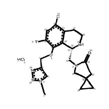 Cl.Cn1cc(COc2c(F)cc(Cl)c3c2[C@@H](CN2CC4(CC4)CC2=O)NCC3)nn1